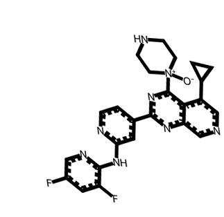 [O-][N+]1(c2nc(-c3ccnc(Nc4ncc(F)cc4F)c3)nc3cncc(C4CC4)c23)CCNCC1